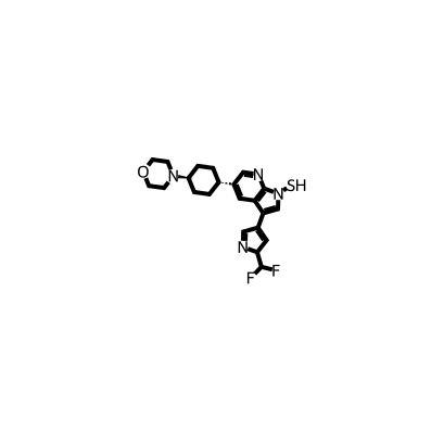 FC(F)C1C=C(c2cn(S)c3ncc([C@H]4CC[C@H](N5CCOCC5)CC4)cc23)C=N1